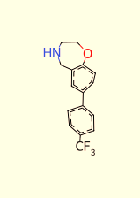 FC(F)(F)c1ccc(-c2ccc3c(c2)CNCCO3)cc1